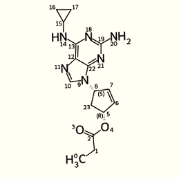 CCC(=O)O[C@H]1C=C[C@@H](n2cnc3c(NC4CC4)nc(N)nc32)C1